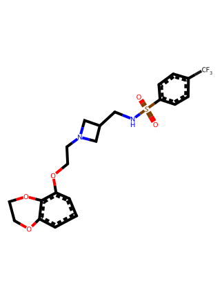 O=S(=O)(NCC1CN(CCOc2cccc3c2OCCO3)C1)c1ccc(C(F)(F)F)cc1